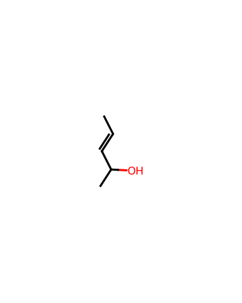 C/C=C/C(C)O